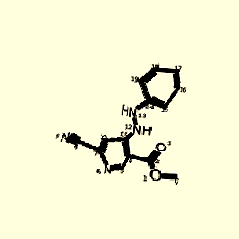 COC(=O)c1cnc(C#N)cc1NNc1ccccc1